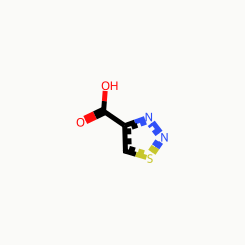 O=C(O)c1csnn1